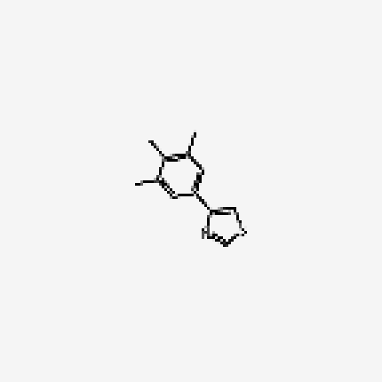 Cc1cc(-c2cs[c]n2)cc(C)c1C